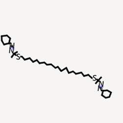 CC(C)(/N=N/C1CCCCC1)SCCCCCCCCCCCCCCCCCCCCSC(C)(C)/N=N/C1CCCCC1